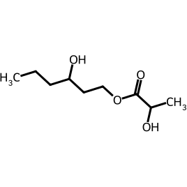 CCCC(O)CCOC(=O)C(C)O